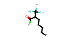 CCCCCC(C(=O)Cl)C(F)(F)F